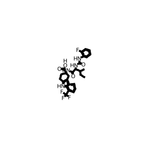 CCC(C)C(NC(=O)Nc1ccccc1F)C(=O)N[C@]1(C(=O)O)CCc2[nH]c3c(C(F)(F)F)cccc3c2C1